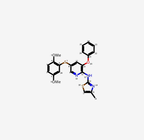 COc1ccc(OC)c(Sc2cnc(Nc3nc(C)cs3)c(Oc3ccccc3)c2)c1